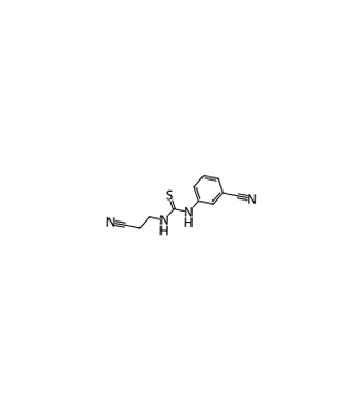 N#CCCNC(=S)Nc1cccc(C#N)c1